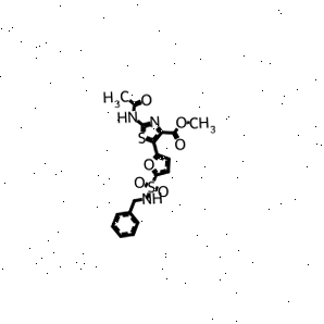 COC(=O)c1nc(NC(C)=O)sc1-c1ccc(S(=O)(=O)NCc2ccccc2)o1